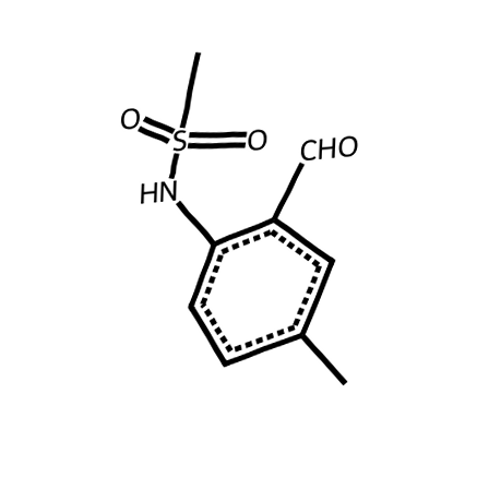 Cc1ccc(NS(C)(=O)=O)c(C=O)c1